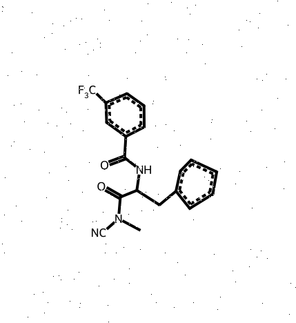 CN(C#N)C(=O)C(Cc1ccccc1)NC(=O)c1cccc(C(F)(F)F)c1